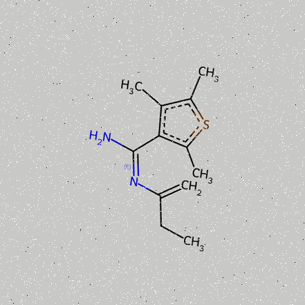 C=C(CC)/N=C(/N)c1c(C)sc(C)c1C